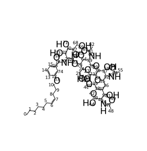 CCCCCC/C=C\CCCOc1cccc(C(=O)NC2C(OC3C(CO)OC(OC4C(CO)OC(CC5C(COC)OC(O)C(NC(C)=O)C5O)C(NC(C)=O)C4O)C(NC(C)=O)C3O)OC(CO)C(O)C2O)c1